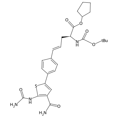 CC(C)(C)OC(=O)N[C@@H](CC=Cc1ccc(-c2cc(C(N)=O)c(NC(N)=O)s2)cc1)C(=O)OC1CCCC1